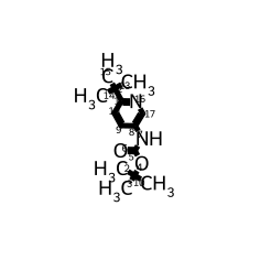 CC(C)(C)OC(=O)Nc1ccc(C(C)(C)C)nc1